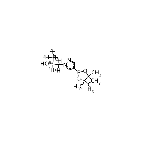 [2H]C([2H])([2H])[C@]([2H])(O)C([2H])([2H])n1cc(B2OC(C)(C)C(C)(C)O2)cn1